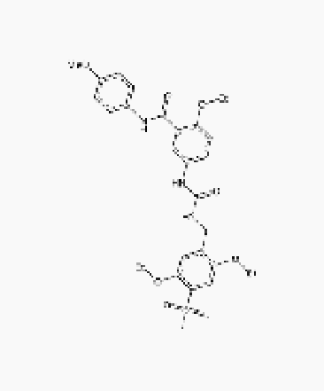 CCOc1cc(S(C)(=O)=O)c(OCC)cc1CNC(=O)Nc1ccc(OCC)c(C(=O)Nc2ccc(OC)cc2)c1